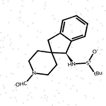 CC(C)(C)[S+]([O-])N[C@@H]1c2ccccc2CC12CCN([C]=O)CC2